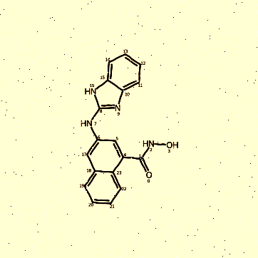 O=C(NO)c1cc(Nc2nc3ccccc3[nH]2)cc2ccccc12